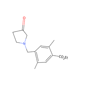 CCOC(=O)c1cc(C)c(CN2CCC(=O)C2)cc1C